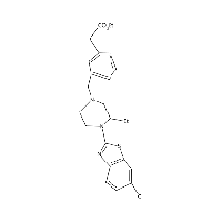 CCOC(=O)Cc1cccc(CN2CCN(c3nc4ccc(Cl)cc4s3)C(CC)C2)c1